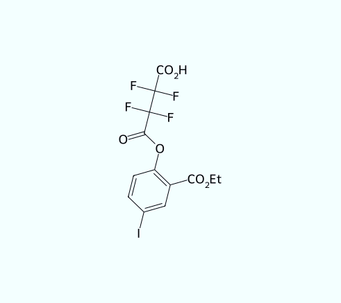 CCOC(=O)c1cc(I)ccc1OC(=O)C(F)(F)C(F)(F)C(=O)O